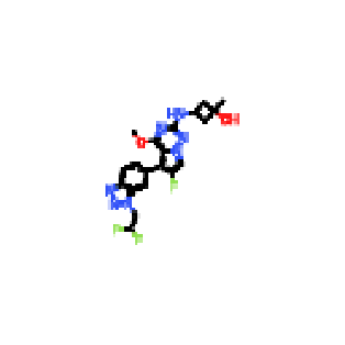 COc1nc(NC2CC(C)(O)C2)nn2cc(F)c(-c3ccc4nnn(CC(F)F)c4c3)c12